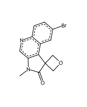 CN1C(=O)C2(COC2)c2c1cnc1ccc(Br)cc21